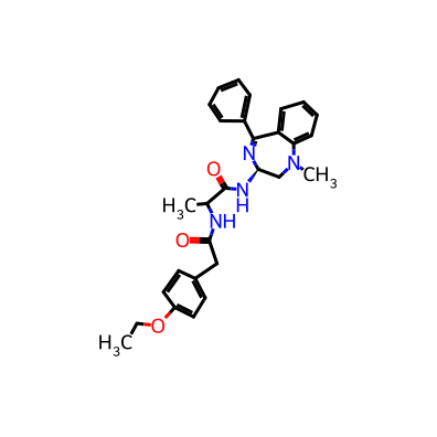 CCOc1ccc(CC(=O)NC(C)C(=O)N[C@@H]2CN(C)c3ccccc3C(c3ccccc3)=N2)cc1